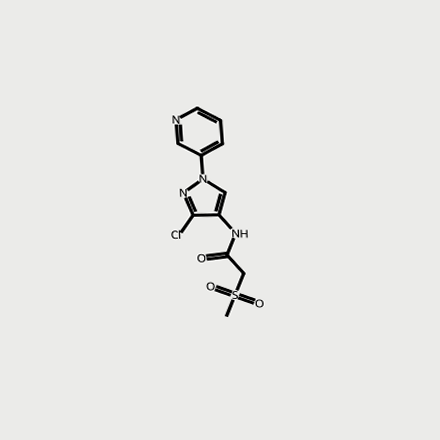 CS(=O)(=O)CC(=O)Nc1cn(-c2cccnc2)nc1Cl